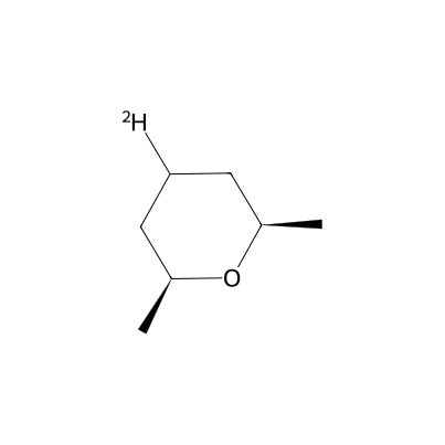 [2H]C1C[C@@H](C)O[C@@H](C)C1